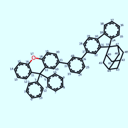 c1ccc(C2(c3ccccc3)c3ccccc3Oc3ccc(-c4cccc(-c5ccc6c(c5)C5(c7ccccc7-6)C6CC7CC(C6)CC5C7)c4)cc32)cc1